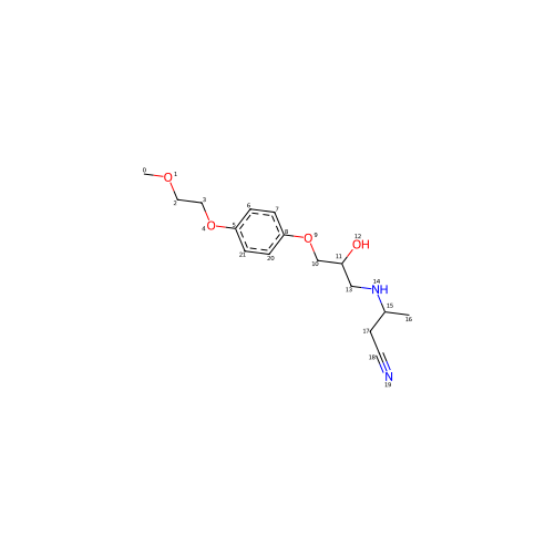 COCCOc1ccc(OCC(O)CNC(C)CC#N)cc1